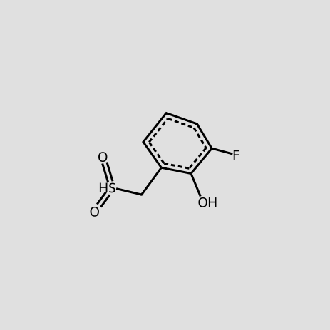 O=[SH](=O)Cc1cccc(F)c1O